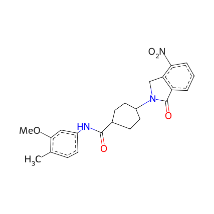 COc1cc(NC(=O)C2CCC(N3Cc4c(cccc4[N+](=O)[O-])C3=O)CC2)ccc1C